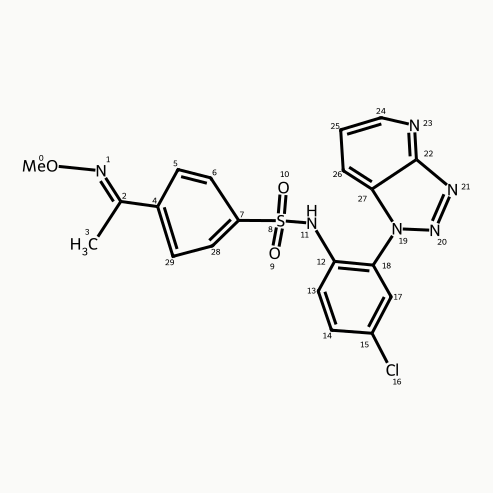 CO/N=C(\C)c1ccc(S(=O)(=O)Nc2ccc(Cl)cc2-n2nnc3ncccc32)cc1